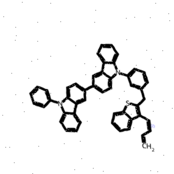 C=C/C=C\c1c(Cc2cccc(-n3c4ccccc4c4cc(-c5ccc6c(c5)c5ccccc5n6-c5ccccc5)ccc43)c2)sc2ccccc12